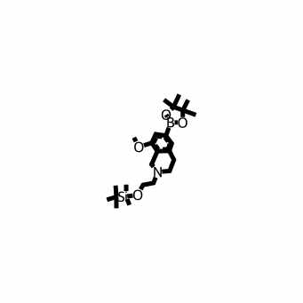 COc1cc(B2OC(C)(C)C(C)(C)O2)cc2c1CN(CCO[Si](C)(C)C(C)(C)C)CC2